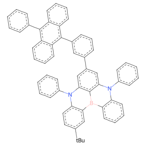 CC(C)(C)c1ccc2c(c1)B1c3ccccc3N(c3ccccc3)c3cc(-c4cccc(-c5c6ccccc6c(-c6ccccc6)c6ccccc56)c4)cc(c31)N2c1ccccc1